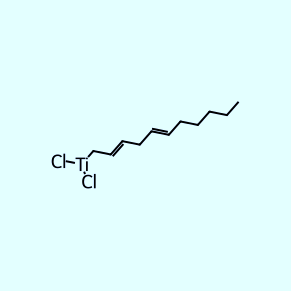 CCCCCC=CCC=C[CH2][Ti]([Cl])[Cl]